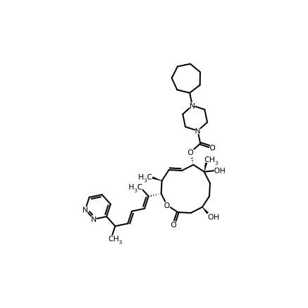 C/C(=C\C=C\C(C)c1cccnn1)[C@H]1OC(=O)C[C@H](O)CC[C@@](C)(O)[C@@H](OC(=O)N2CCN(C3CCCCCC3)CC2)/C=C/[C@@H]1C